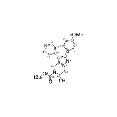 COc1ccc(-c2nn3c(c2-c2ccncc2)CN(C(=O)OC(C)(C)C)[C@H](C)C3)cc1